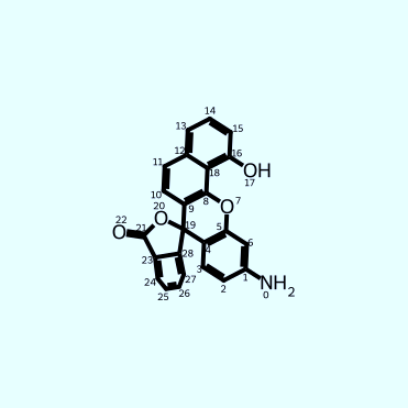 Nc1ccc2c(c1)Oc1c(ccc3cccc(O)c13)C21OC(=O)c2ccccc21